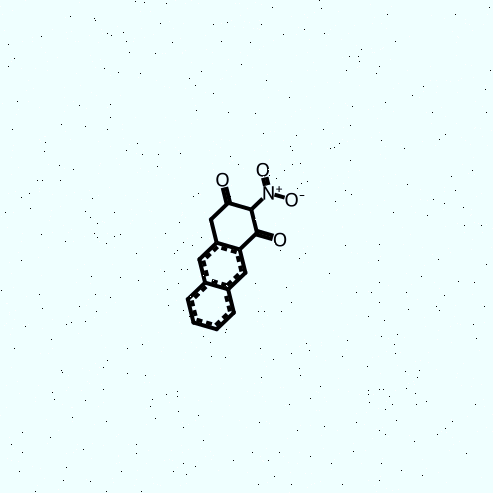 O=C1Cc2cc3ccccc3cc2C(=O)C1[N+](=O)[O-]